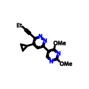 CCC#Cc1nnc(-c2cnc(OC)nc2OC)cc1C1CC1